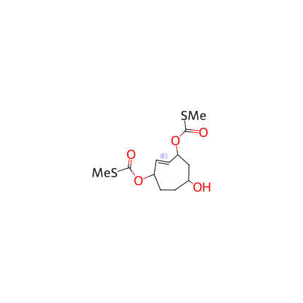 CSC(=O)OC1/C=C/C(OC(=O)SC)CC(O)CC1